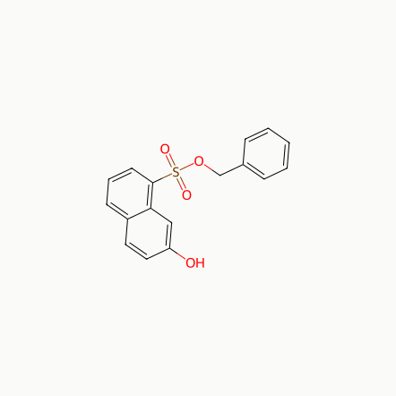 O=S(=O)(OCc1ccccc1)c1cccc2ccc(O)cc12